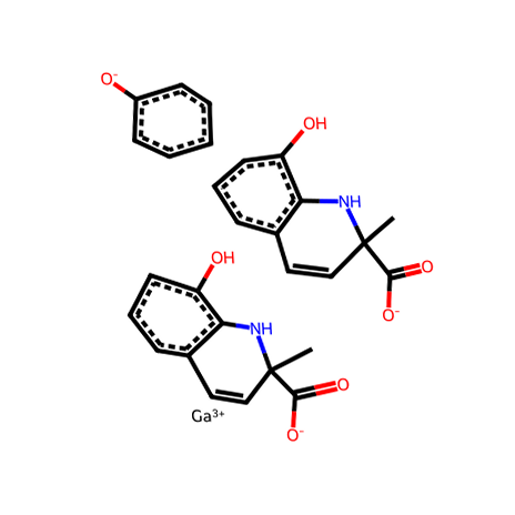 CC1(C(=O)[O-])C=Cc2cccc(O)c2N1.CC1(C(=O)[O-])C=Cc2cccc(O)c2N1.[Ga+3].[O-]c1ccccc1